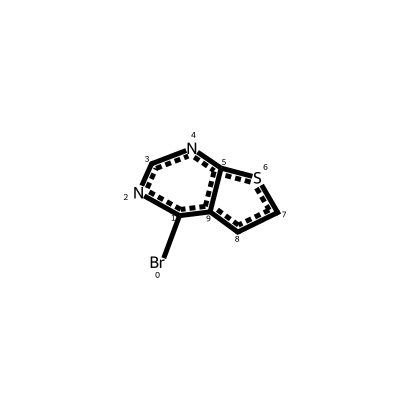 Brc1ncnc2sccc12